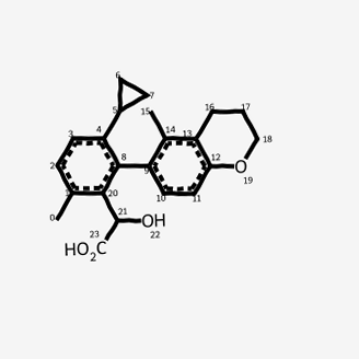 Cc1ccc(C2CC2)c(-c2ccc3c(c2C)CCCO3)c1C(O)C(=O)O